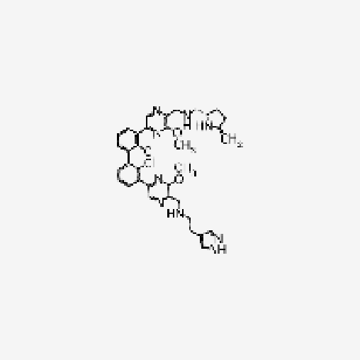 C=C1CC[C@@H](CNCc2ncc(-c3cccc(-c4cccc(-c5cnc(CNCCc6cn[nH]c6)c(OC)n5)c4Cl)c3Cl)nc2OC)N1